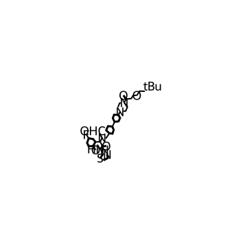 CN(Cc1ccc(-c2ccc(N3CCN(C(=O)CCOCCC(C)(C)C)CC3)cc2)cc1C=O)C(C(=O)Nc1nccs1)c1cc(F)ccc1O